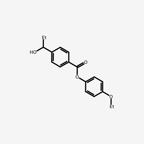 CCOc1ccc(OC(=O)c2ccc(C(O)CC)cc2)cc1